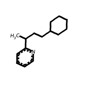 CC(CCC1CCCCC1)c1ccccn1